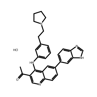 CC(=O)c1cnc2ccc(-c3ccc4nc[nH]c4c3)cc2c1Nc1cccc(CCN2CCCC2)c1.Cl